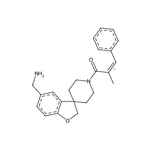 C/C(=C/c1ccccc1)C(=O)N1CCC2(CC1)COc1ccc(CN)cc12